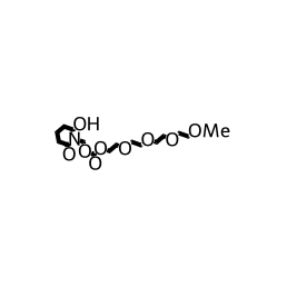 COCCOCCOCCOCCOC(=O)OCN1C(=O)CCCC1O